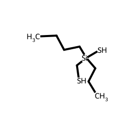 CCCC[Si](S)(CS)CCC